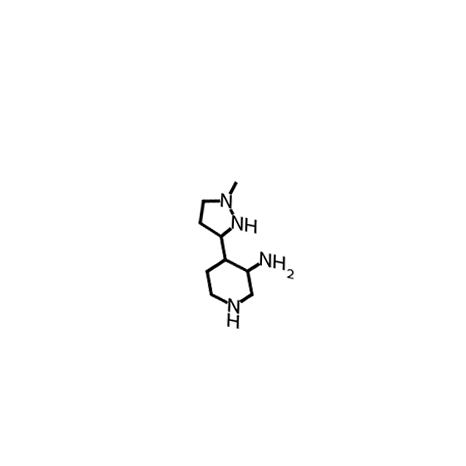 CN1CCC(C2CCNCC2N)N1